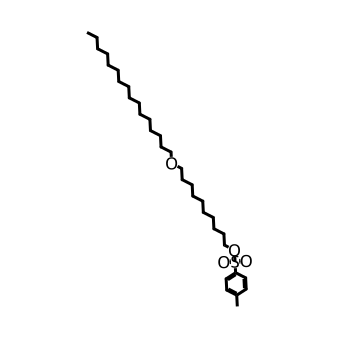 CCCCCCCCCCCCCCCCOCCCCCCCCCCOS(=O)(=O)c1ccc(C)cc1